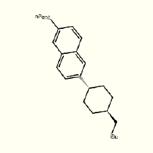 CCCCCc1ccc2cc([C@H]3CC[C@H](CC(C)CC)CC3)ccc2c1